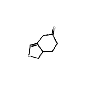 O=C1CCC2COC=C2C1